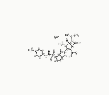 C[C@@H](O)[C@H]1C(=O)N2C(C(=O)[O-])=C(c3cn4cnc(S(=O)(=O)NCc5ccc(N)cc5)c4s3)[C@H](C)[C@H]12.[Na+]